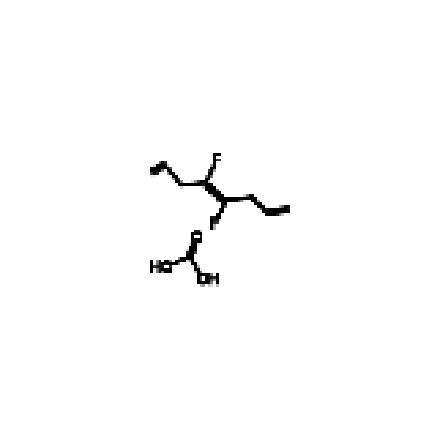 C=CCC(F)=C(F)CC=C.O=C(O)O